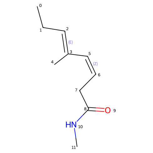 CC/C=C(C)/C=C\CC(=O)NC